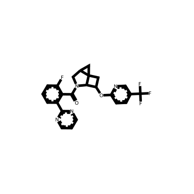 O=C(c1c(F)cccc1-c1ncccn1)N1CC2CC23CC(Oc2ccc(C(F)(F)F)cn2)C13